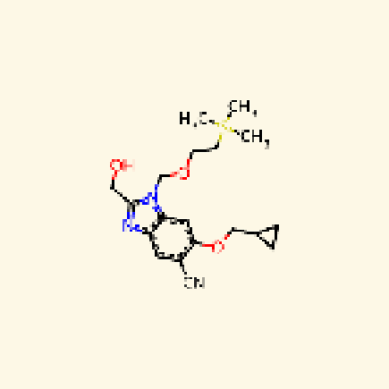 CS(C)(C)CCOCn1c(CO)nc2cc(C#N)c(OCC3CC3)cc21